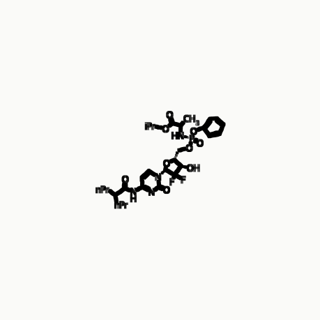 CCCC(CCC)C(=O)Nc1ccn([C@@H]2O[C@H](CO[P@@](=O)(NC(C)C(=O)OC(C)C)Oc3ccccc3)[C@@H](O)C2(F)F)c(=O)n1